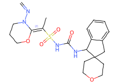 C=NN1CCCO/C1=C(/C)S(=O)(=O)NC(=O)NC1c2ccccc2CC12CCOCC2